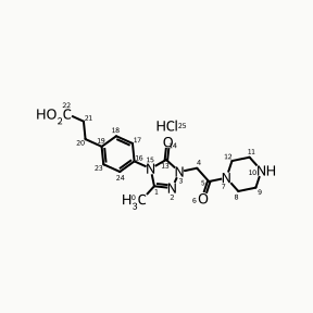 Cc1nn(CC(=O)N2CCNCC2)c(=O)n1-c1ccc(CCC(=O)O)cc1.Cl